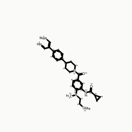 CN/C=C(\C=N)c1ccc(C2CCN(C(=O)c3ccc(N(C)CCOC)c(NC(=O)C4CC4)c3)CC2)cc1